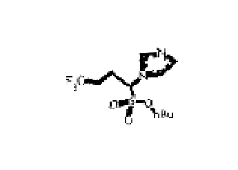 CCCCOS(=O)(=O)C(CCC(F)(F)F)n1ccnc1